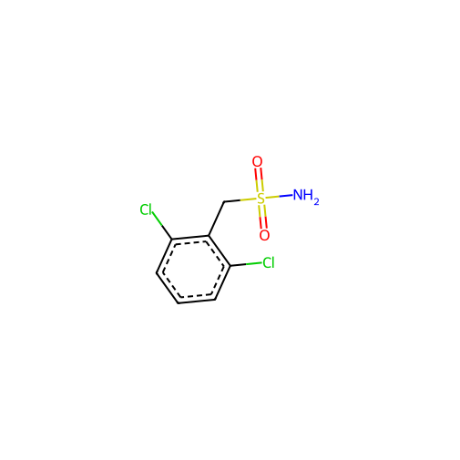 NS(=O)(=O)Cc1c(Cl)cccc1Cl